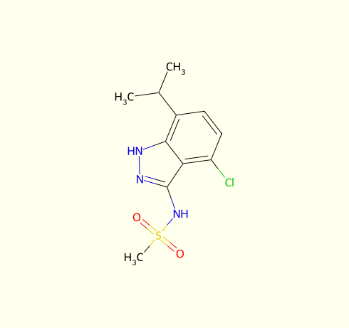 CC(C)c1ccc(Cl)c2c(NS(C)(=O)=O)n[nH]c12